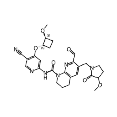 COC1CCN(Cc2cc3c(nc2C=O)N(C(=O)Nc2cc(O[C@H]4CC[C@@H]4OC)c(C#N)cn2)CCC3)C1=O